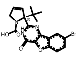 CC(C)(C)[C@]1(c2nc3c(oc4ccc(Br)cc43)c(=O)[nH]2)C=CCN1C(=O)O